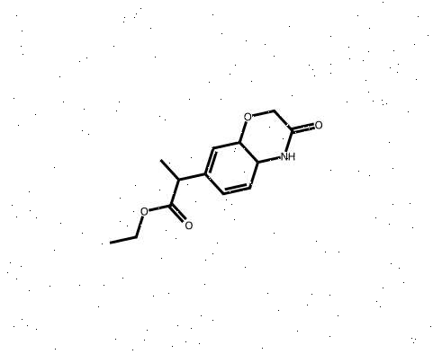 CCOC(=O)C(C)C1=CC2OCC(=O)NC2C=C1